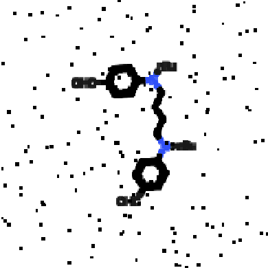 CCCCN(CCCCN(CCCC)c1ccc(C=O)cc1)c1ccc(C=O)cc1